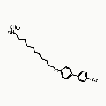 CC(=O)c1ccc(-c2ccc(OCCCCCCCCCCCNC=O)cc2)cc1